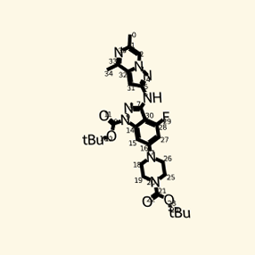 Cc1cn2nc(Nc3nn(C(=O)OC(C)(C)C)c4cc(N5CCN(C(=O)OC(C)(C)C)CC5)cc(F)c34)cc2c(C)n1